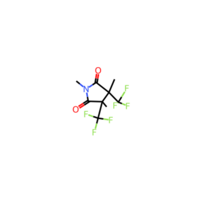 CN1C(=O)C(C)(C(F)(F)F)C(C)(C(F)(F)F)C1=O